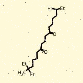 CCC(CC)CCCCC(=O)CCCC(=O)CCCCC(C)(CC)CC